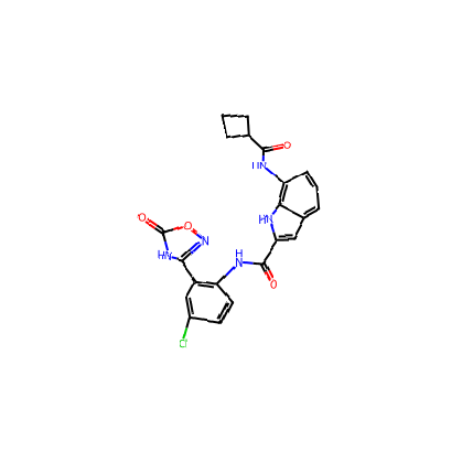 O=C(Nc1ccc(Cl)cc1-c1noc(=O)[nH]1)c1cc2cccc(NC(=O)C3CCC3)c2[nH]1